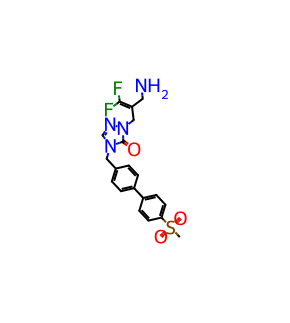 CS(=O)(=O)c1ccc(-c2ccc(Cn3cnn(CC(CN)=C(F)F)c3=O)cc2)cc1